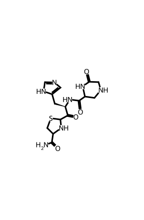 NC(=O)C1CSC(C(=O)[C@@H](Cc2cnc[nH]2)NC(=O)C2CNCC(=O)N2)N1